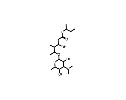 CCC(C)OC(=O)CC(O)C(C)C(C)OC1OC(C)C(O)C(N(C)C)C1O